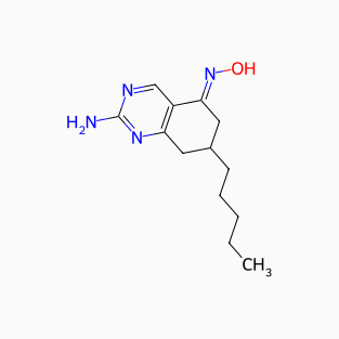 CCCCCC1CC(=NO)c2cnc(N)nc2C1